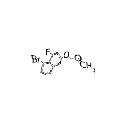 COCOc1cc(F)c2c(Br)cccc2c1